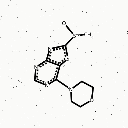 C[S+]([O-])c1nc2ncnc(N3CCOCC3)c2s1